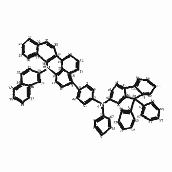 c1ccc(N(c2ccc(-c3ccc4c5c(cccc35)-c3ccc5ccccc5c3N4c3ccc4ccccc4c3)cc2)c2ccc3c(c2)C(c2ccccc2)(c2ccccc2)c2ccccc2-3)cc1